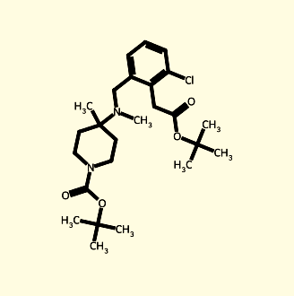 CN(Cc1cccc(Cl)c1CC(=O)OC(C)(C)C)C1(C)CCN(C(=O)OC(C)(C)C)CC1